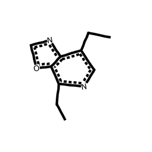 CCc1cnc(CC)c2ocnc12